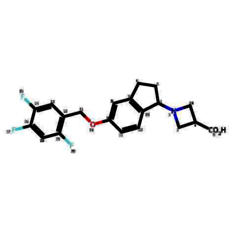 O=C(O)C1CN(C2CCc3cc(OCc4cc(F)c(F)cc4F)ccc32)C1